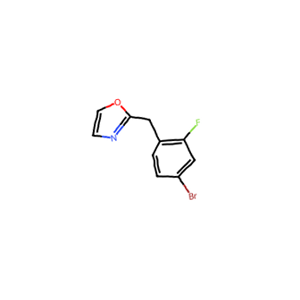 Fc1cc(Br)ccc1Cc1ncco1